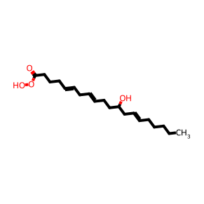 CCCCCC=CCC(O)CCC=CCC=CCCCC(=O)OO